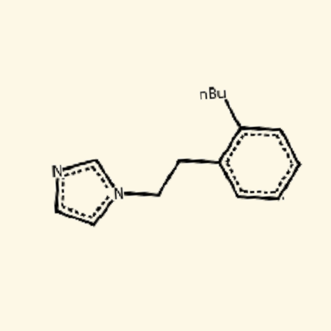 CCCCc1cc[c]cc1CCn1ccnc1